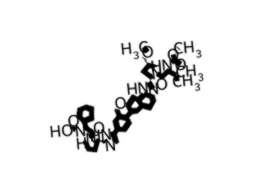 COC[C@H]1C[C@@H](c2nc3ccc4cc5c(cc4c3[nH]2)OCc2cc(-c3cnc([C@@H]4CCCN4C(=O)[C@H](NC(=O)O)c4ccccc4)[nH]3)ccc2-5)N(C(=O)[C@@H](NC(=O)OC)C(C)C)C1